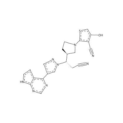 N#CC[C@@H]([C@H]1CCN(c2scc(O)c2C#N)C1)n1cc(-c2ncnc3[nH]ccc23)cn1